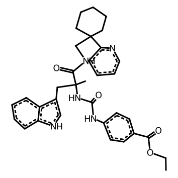 CCOC(=O)c1ccc(NC(=O)NC(C)(Cc2c[nH]c3ccccc23)C(=O)NCC2(c3ccccn3)CCCCC2)cc1